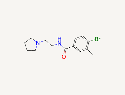 Cc1cc(C(=O)NCCN2CCCC2)ccc1Br